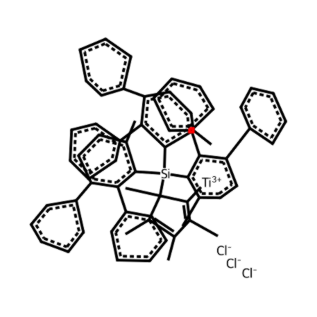 CC1=C(C)C(C)([Si](c2c(C)ccc(-c3ccccc3)c2-c2ccccc2)(c2c(C)ccc(-c3ccccc3)c2-c2ccccc2)c2c(C)ccc(-c3ccccc3)c2-c2ccccc2)[C]([Ti+3])=C1C.[Cl-].[Cl-].[Cl-]